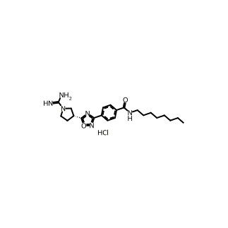 CCCCCCCCNC(=O)c1ccc(-c2noc([C@@H]3CCN(C(=N)N)C3)n2)cc1.Cl